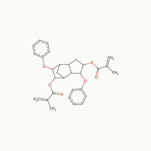 C=C(C)C(=O)OC1CC2C3CC(C(OC(=O)C(=C)C)C3Oc3ccccc3)C2C1Oc1ccccc1